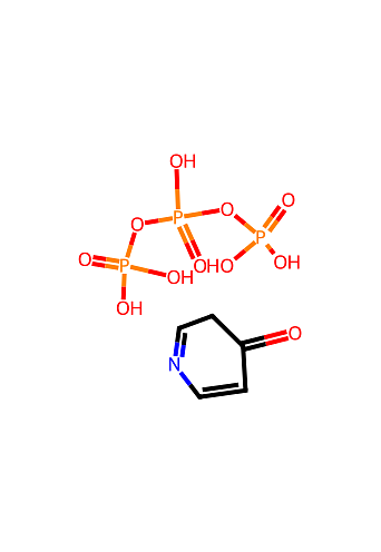 O=C1C=CN=CC1.O=P(O)(O)OP(=O)(O)OP(=O)(O)O